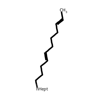 [CH2]CCCCCCCCCC=CCCCC=CC